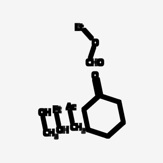 CC(C)=O.CCO.CCOC=O.CO.O=C1CCCCC1